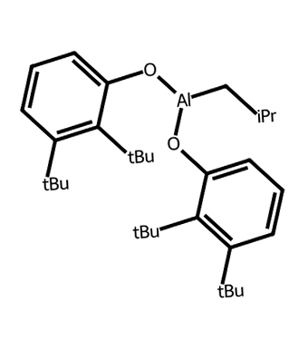 CC(C)[CH2][Al]([O]c1cccc(C(C)(C)C)c1C(C)(C)C)[O]c1cccc(C(C)(C)C)c1C(C)(C)C